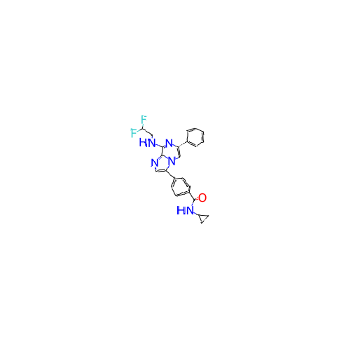 O=C(NC1CC1)c1ccc(-c2cnc3c(NCC(F)F)nc(-c4ccccc4)cn23)cc1